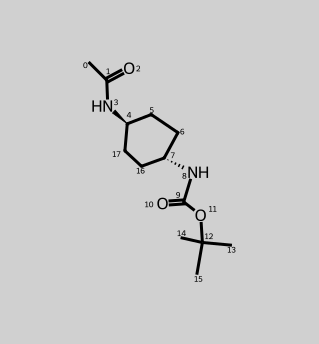 CC(=O)N[C@H]1CC[C@H](NC(=O)OC(C)(C)C)CC1